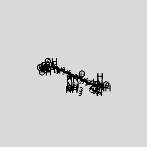 C/C(=C\COP(=O)(O)OP(=O)(O)O)CC/C=C(\C)CNC(=O)CCCC[C@@H]1SC[C@@H]2NC(=O)N[C@@H]21.N.N.N